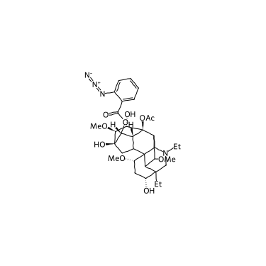 CCN1CC2(CC)C3C(OC)C4C1C3(C1C[C@@]3(O)[C@H](OC(=O)c5ccccc5N=[N+]=[N-])[C@@H]1[C@]4(OC(C)=O)[C@@H](O)[C@@H]3OC)[C@@H](OC)C[C@H]2O